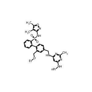 CCCNc1cc(NCc2ccc(-c3ccccc3S(=O)(=O)Nc3noc(C)c3C)c(COCC)c2)nc(C)n1